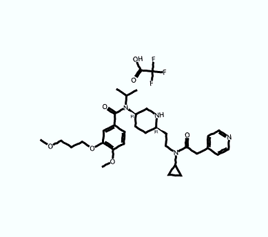 COCCCOc1cc(C(=O)N(C(C)C)[C@@H]2CC[C@H](CCN(C(=O)Cc3ccncc3)C3CC3)NC2)ccc1OC.O=C(O)C(F)(F)F